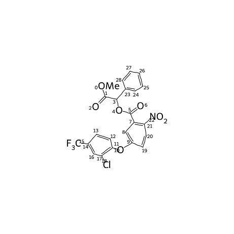 COC(=O)C(OC(=O)c1cc(Oc2ccc(C(F)(F)F)cc2Cl)ccc1[N+](=O)[O-])c1ccccc1